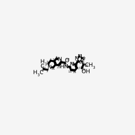 CC(C)CN1CCc2cnc(C(=O)Nc3cccc(-c4nnnn4[C@H](C)CO)n3)cc2C1